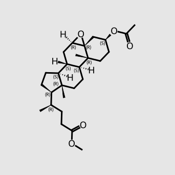 COC(=O)CC[C@@H](C)[C@H]1CC[C@H]2[C@@H]3C[C@H]4O[C@@]45C[C@@H](OC(C)=O)CC[C@]5(C)[C@H]3CC[C@]12C